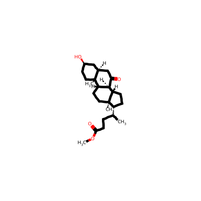 COC(=O)CCC(C)[C@H]1CC[C@H]2[C@@H]3C(=O)C[C@@H]4C[C@H](O)CC[C@]4(C)[C@H]3CC[C@]12C